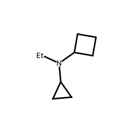 [CH2]CN(C1CCC1)C1CC1